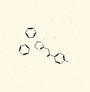 O=C(CC1=N[C@H](c2ccccc2)[C@H](c2ccccc2)N1C(=O)O)c1ccc(F)cc1